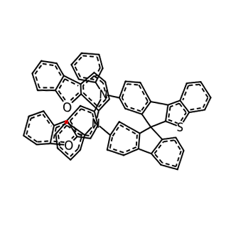 c1ccc(N(c2ccc3c(c2)C2(c4ccccc4-c4ccc(N(c5ccccc5)c5cccc6c5oc5ccccc56)cc42)c2sc4ccccc4c2-3)c2ccc3oc4ccccc4c3c2)cc1